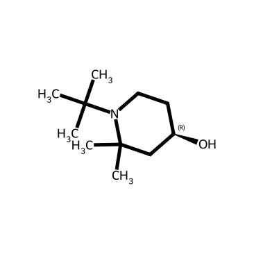 CC(C)(C)N1CC[C@@H](O)CC1(C)C